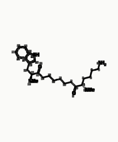 CN[C@@H](CCCCN)C(=O)CCCCCCC(=O)[C@H](Cc1c[nH]c2ccccc12)NC